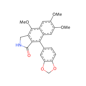 COc1cc2c(OC)c3c(c(-c4ccc5c(c4)OCO5)c2cc1OC)C(=O)NC3